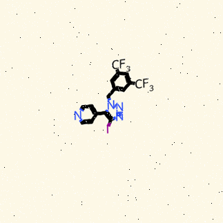 FC(F)(F)c1cc(Cn2nnc(I)c2-c2ccncc2)cc(C(F)(F)F)c1